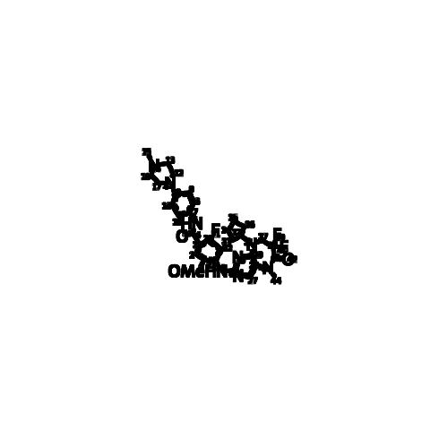 COc1cc(C(=O)Nc2ccc(N3CCN(C)CC3)cc2)c(F)cc1Nc1ncc2c(n1)N(C1CCCC1)CC(F)(F)C(=O)N2C